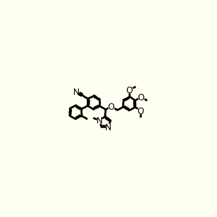 COc1cc(COC(c2ccc(C#N)c(-c3ccccc3C)c2)c2cncn2C)cc(OC)c1OC